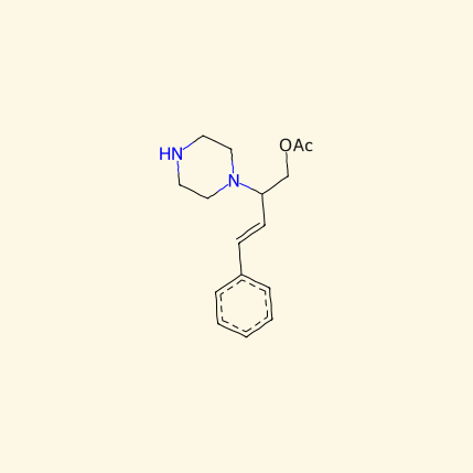 CC(=O)OCC(/C=C/c1ccccc1)N1CCNCC1